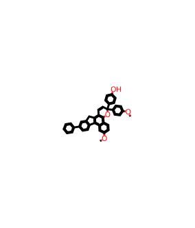 COc1ccc(C2(c3ccc(O)cc3)C=Cc3c4c(c5cc(OC)ccc5c3O2)-c2ccc(-c3ccccc3)cc2C4)cc1